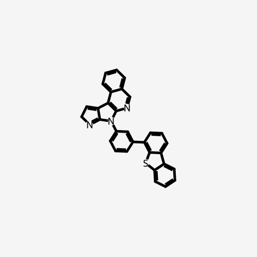 C1=c2c(n(-c3cccc(-c4cccc5c4sc4ccccc45)c3)c3ncc4ccccc4c23)=NC1